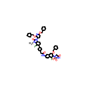 Cn1c(=O)n(-c2ccc(OCc3ccccc3)nc2OCc2ccccc2)c2ccc(-c3ccc(CC(=O)Nc4ccc5c(F)c(N6CC(=O)NS6(=O)=O)c(OCc6ccccc6)cc5c4)cc3)c(F)c21